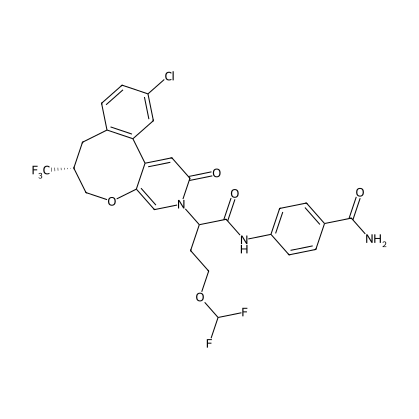 NC(=O)c1ccc(NC(=O)C(CCOC(F)F)n2cc3c(cc2=O)-c2cc(Cl)ccc2C[C@@H](C(F)(F)F)CO3)cc1